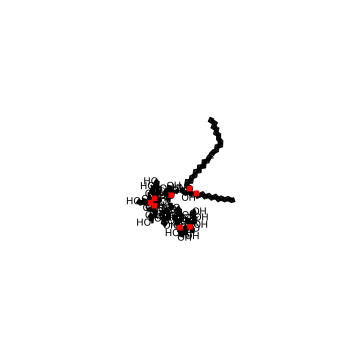 CCCCCCCC/C=C\CCCCCCCCCCCCCCCC(=O)N[C@@H](CO[C@@H]1OC(CO)[C@@H](O[C@@H]2OC(CO)[C@H](O)[C@H](O[C@@H]3OC(CO)[C@@H](O[C@@H]4OC(CO)[C@H](O)[C@H](O[C@@H]5OC(CO)[C@@H](O[C@@H]6OC(CO)[C@H](O)[C@H](O[C@H]7OC(CO)[C@H](O)[C@H](O)C7NC(C)=O)C6O[C@H]6OC(C)[C@@H](O)C(O)[C@@H]6O)[C@H](O)C5NC(C)=O)C4O)[C@H](O)C3NC(C)=O)C2O)[C@H](O)C1O)[C@H](O)/C=C/CCCCCCCCCCCCC